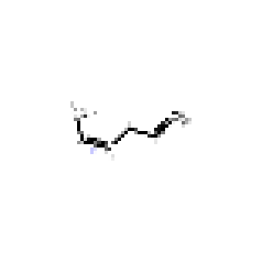 C=CC/N=C\C(=O)O